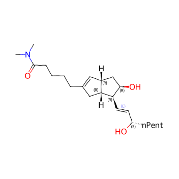 CCCCC[C@H](O)/C=C/[C@H]1[C@@H]2CC(CCCCC(=O)N(C)C)=C[C@@H]2C[C@H]1O